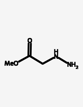 COC(=O)CNN